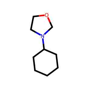 C1CCC(N2CCOC2)CC1